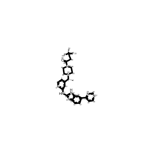 C[C@H](c1ccnc(Nc2nc3ccc(-c4ccncn4)cc3[nH]2)c1)N1CCN(C(=O)CC(F)(F)F)CC1